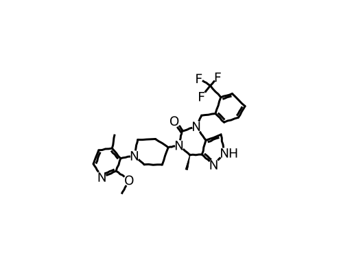 COc1nccc(C)c1N1CCC(N2C(=O)N(Cc3ccccc3C(F)(F)F)c3c[nH]nc3[C@H]2C)CC1